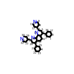 c1ccc(-c2cc(-c3ccncc3)nc3c2ccc2c(-c4ccccc4)cc(-c4ccncc4)nc23)cc1